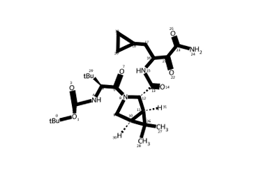 CC(C)(C)OC(=O)N[C@H](C(=O)N1C[C@H]2[C@@H]([C@H]1C(=O)NC(CC1CC1)C(=O)C(N)=O)C2(C)C)C(C)(C)C